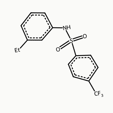 CCc1cccc(NS(=O)(=O)c2ccc(C(F)(F)F)cc2)c1